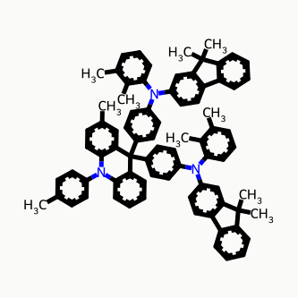 Cc1ccc(N2c3ccccc3C(c3ccc(N(c4ccc5c(c4)C(C)(C)c4ccccc4-5)c4cccc(C)c4C)cc3)(c3ccc(N(c4ccc5c(c4)C(C)(C)c4ccccc4-5)c4cccc(C)c4C)cc3)c3cc(C)ccc32)cc1